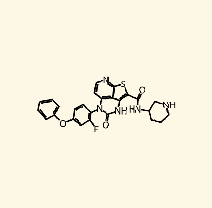 O=C(NC1CCCNC1)c1sc2nccc3c2c1NC(=O)N3c1ccc(Oc2ccccc2)cc1F